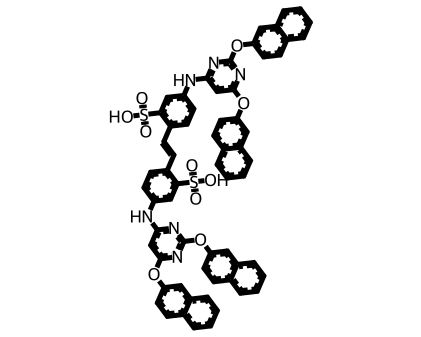 O=S(=O)(O)c1cc(Nc2cc(Oc3ccc4ccccc4c3)nc(Oc3ccc4ccccc4c3)n2)ccc1C=Cc1ccc(Nc2cc(Oc3ccc4ccccc4c3)nc(Oc3ccc4ccccc4c3)n2)cc1S(=O)(=O)O